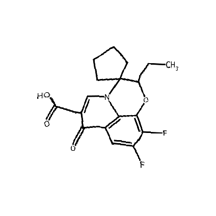 CCC1Oc2c(F)c(F)cc3c(=O)c(C(=O)O)cn(c23)C12CCCC2